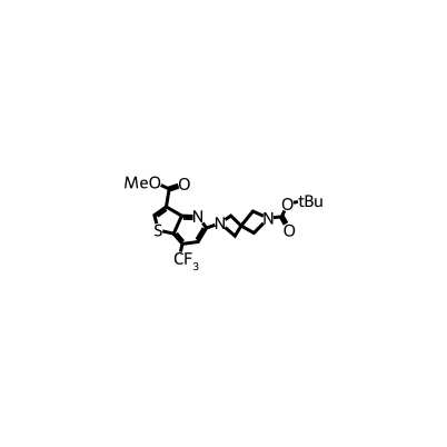 COC(=O)c1csc2c(C(F)(F)F)cc(N3CC4(CN(C(=O)OC(C)(C)C)C4)C3)nc12